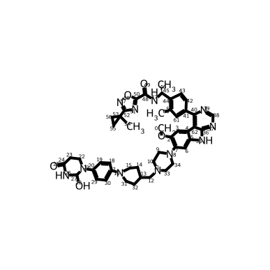 COc1cc2c(cc1N1CCN(CC3CCN(c4ccc(N5CCC(=O)NC5O)cc4)CC3)CC1)[nH]c1ncnc(-c3ccc([C@@H](C)NC(=O)c4nc(C5(C)CC5)no4)c(C)c3)c12